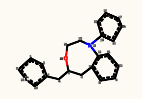 c1ccc(CC2Cc3ccccc3N(c3ccccc3)CCO2)cc1